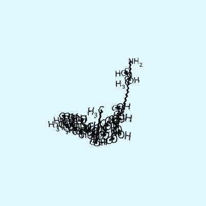 CC(N[C@H](C)C(=O)O)C(=O)O.CCCCCCCCCCCCCCN(CC(=O)O)CC(=O)O.CCCCCCCCCCN(CC(=O)O)CC(=O)O.CN(C)N(CCC(=O)O)CCC(=O)O.C[C@@H](NCC(=O)O)C(=O)O.C[C@H](NCC(=O)O)C(=O)O.NCCCCCCN(CC(=O)O)CC(=O)O.O=C(O)CN(CCN1CC(=O)OC(=O)C1)CC(=O)O